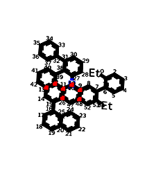 CCc1ccccc1-c1cc(N(c2cccc(-c3cccc4ccccc34)c2)c2cccc(-c3ccccc3)c2-c2ccccc2-c2ccccc2)ccc1CC